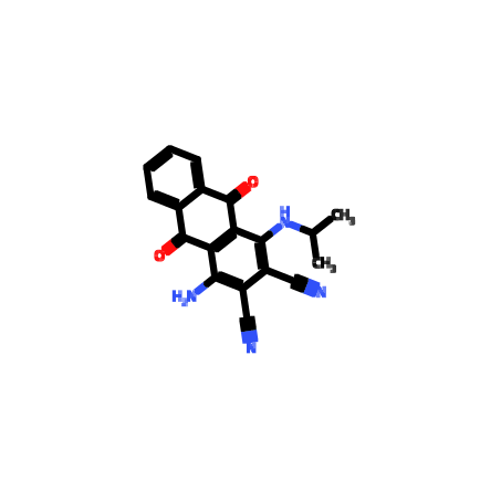 CC(C)Nc1c(C#N)c(C#N)c(N)c2c1C(=O)c1ccccc1C2=O